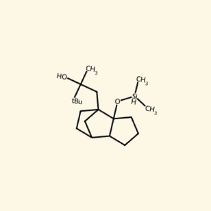 C[SiH](C)OC12CCCC1C1CCC2(CC(C)(O)C(C)(C)C)C1